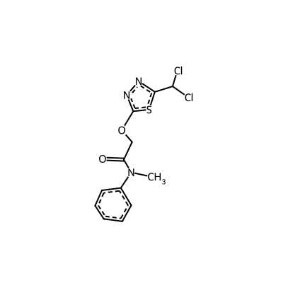 CN(C(=O)COc1nnc(C(Cl)Cl)s1)c1ccccc1